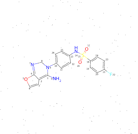 NC1=c2ccoc2=NCN1c1ccc(NS(=O)(=O)c2ccc(F)cc2)cc1